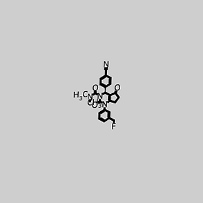 CN(C)C(=O)N1C(=O)N(c2cccc(CF)c2)C2=C(C(=O)CC2)[C@@H]1c1ccc(C#N)cc1